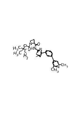 Cc1cc(-c2cccc(-c3csc(NC(=O)C4CCN4C(=O)OC(C)(C)C)n3)c2)cc(C)n1